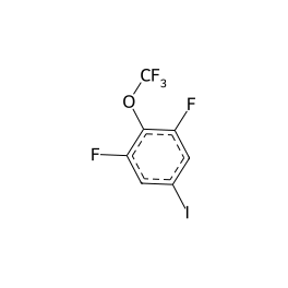 Fc1cc(I)cc(F)c1OC(F)(F)F